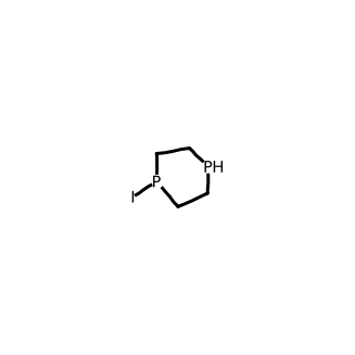 IP1CCPCC1